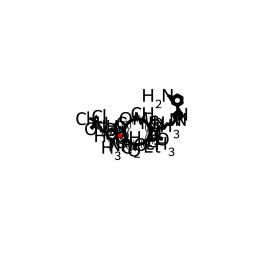 CC[C@H]1OC(=O)[C@H](C)C(=O)[C@H](C)[C@@H](O[C@@H]2O[C@H](CNC(=O)C(Cl)Cl)CC(N)C2O)[C@](C)(OC)C[C@@H](C)CN[C@H](C)[C@H]2N(CCCCn3cc(-c4cccc(N)c4)nn3)C(=O)O[C@]12C